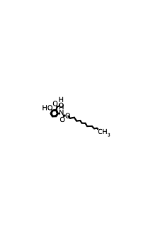 CCCCCCCCCCCOC(=O)Nc1cccc(O)c1C(=O)O